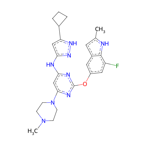 Cc1cc2cc(Oc3nc(Nc4cc(C5CCC5)[nH]n4)cc(N4CCN(C)CC4)n3)cc(F)c2[nH]1